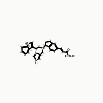 O=C(/C=C/c1ccc2c(c1)CCC2N(CCc1c[nH]c2ccccc12)Cc1c[nH]cn1)NO